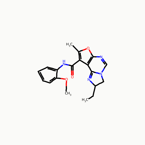 CCC1CN2C=Nc3oc(C)c(C(=O)Nc4ccccc4OC)c3C2=N1